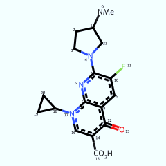 CNC1CCN(c2nc3c(cc2F)c(=O)c(C(=O)O)cn3C2CC2)C1